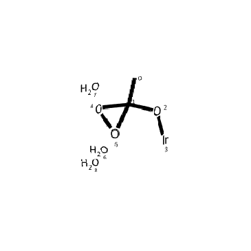 CC1([O][Ir])OO1.O.O.O